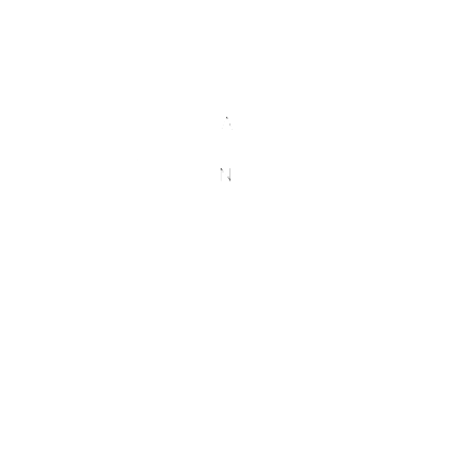 CC(=O)N(CCc1ccccc1)C1CCCCC1